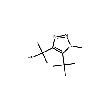 Cn1nnc(C(C)(C)S)c1C(C)(C)C